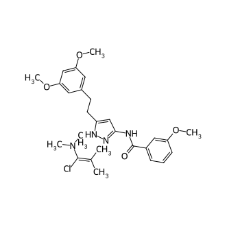 CC(C)=C(Cl)N(C)C.COc1cc(CCc2cc(NC(=O)c3cccc(OC)c3)n[nH]2)cc(OC)c1